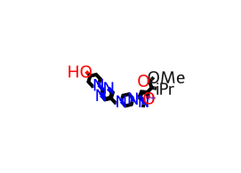 COC(=O)C(c1cc(N2CCN(Cc3cnc(N4CCC(O)CC4)nc3)CC2)[n+](C)o1)C(C)C